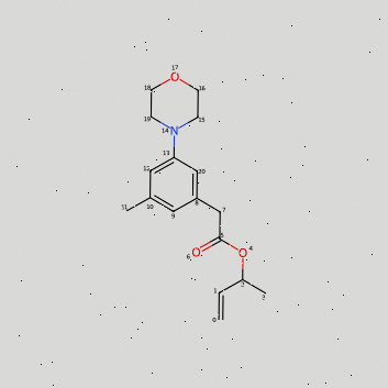 C=CC(C)OC(=O)Cc1cc(C)cc(N2CCOCC2)c1